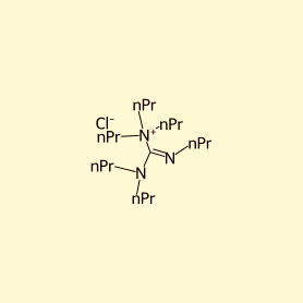 CCCN=C(N(CCC)CCC)[N+](CCC)(CCC)CCC.[Cl-]